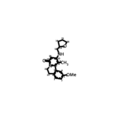 COc1ccc2c(c1)-c1c(C)c(NCC3CCCO3)cc(=O)n1CC2